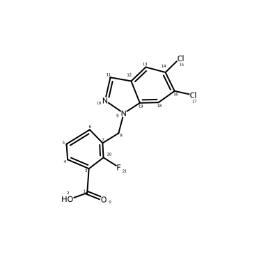 O=C(O)c1cccc(Cn2ncc3cc(Cl)c(Cl)cc32)c1F